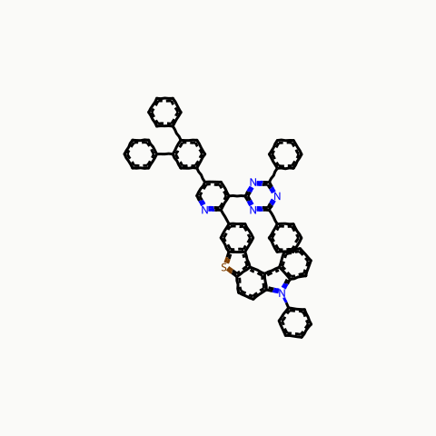 c1ccc(-c2nc(-c3ccccc3)nc(-c3cc(-c4ccc(-c5ccccc5)c(-c5ccccc5)c4)cnc3-c3ccc4c(c3)sc3ccc5c(c6ccccc6n5-c5ccccc5)c34)n2)cc1